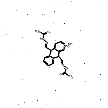 Cl.Cl.N=C(N)NN=CC1c2ccccc2C(C=NNC(=N)N)c2ccccc21